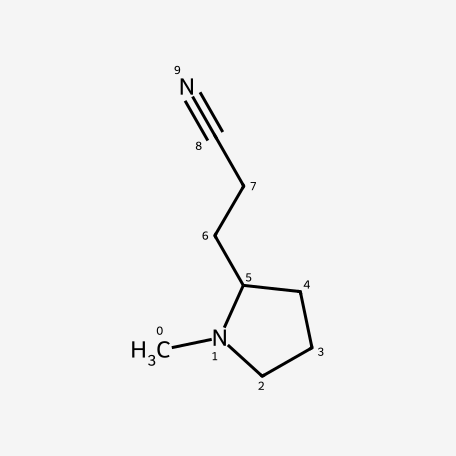 CN1CCCC1CCC#N